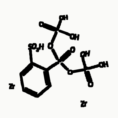 O=P(O)(O)OP(=O)(OP(=O)(O)O)c1ccccc1S(=O)(=O)O.[Zr].[Zr]